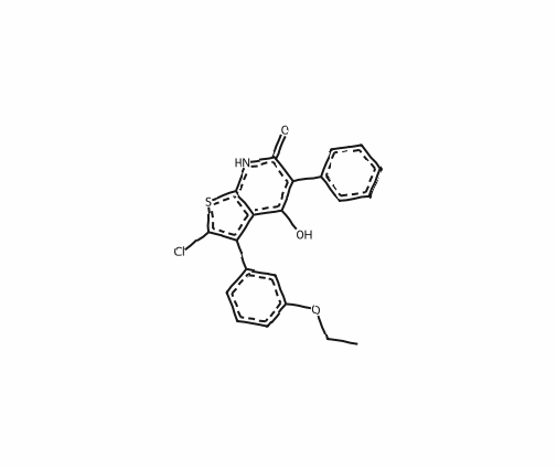 CCOc1cccc(-c2c(Cl)sc3[nH]c(=O)c(-c4ccccc4)c(O)c23)c1